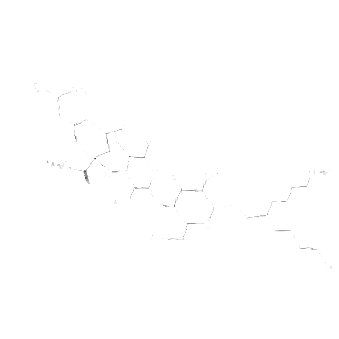 CCCCCCCCCCCCCCC(CCCCCCCCCCCCCC)CO[C@@H]1OC(COC(C)=O)[C@@H](O[C@@H]2OC(COC(C)=O)[C@H](C)[C@H](O[C@]3(C(=O)OC)CC(C)[C@@H](C)[C@H]([C@H](C)[C@@H](CC)OC(C)=O)O3)C2OC(C)=O)C(C)C1OC(C)=O